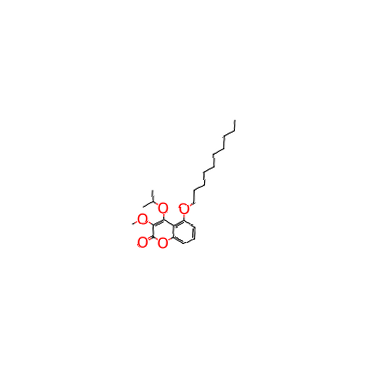 CCCCCCCCCCOc1cccc2oc(=O)c(OC)c(OC(C)C)c12